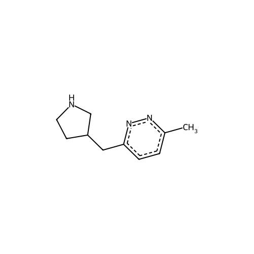 Cc1ccc(CC2CCNC2)nn1